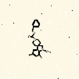 CN1CC2(CCN(C(=O)OCc3ccccc3)CC2)c2cc(F)cc(F)c21